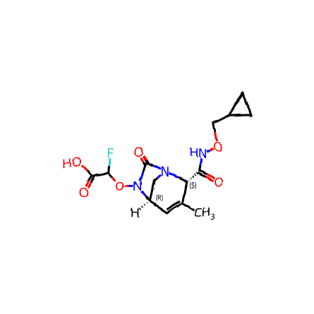 CC1=C[C@@H]2CN(C(=O)N2OC(F)C(=O)O)[C@@H]1C(=O)NOCC1CC1